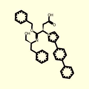 O=C(O)C[C@H](C(=N[C@H](CO)Cc1ccccc1)OCc1ccccc1)n1ccc(-c2ccc(-c3ccccc3)cc2)c1